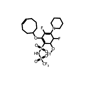 CCOC1C(S(=O)(=O)NS(=O)(=O)C(F)(F)F)=C(OC2CC/C=C\CCC2)C(F)=C(N2CCCCC2)C1F